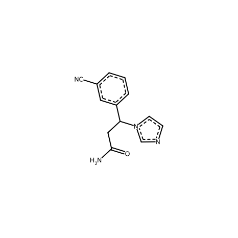 N#Cc1cccc(C(CC(N)=O)n2ccnc2)c1